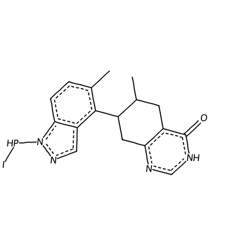 Cc1ccc2c(cnn2PI)c1C1Cc2nc[nH]c(=O)c2CC1C